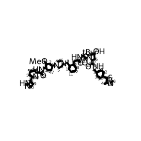 COc1cc(N2CCN(Cc3ccccc3CC(=O)N[C@H](C(=O)N3C[C@H](O)C[C@H]3C(=O)NCc3ccc(-c4scnc4C)cc3)C(C)(C)C)CC2)ccc1NC(=O)c1cccc(-c2ccn[nH]2)n1